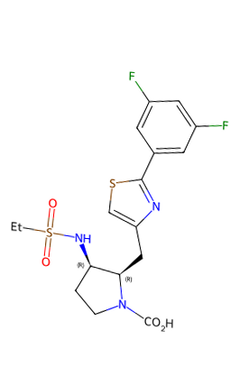 CCS(=O)(=O)N[C@@H]1CCN(C(=O)O)[C@@H]1Cc1csc(-c2cc(F)cc(F)c2)n1